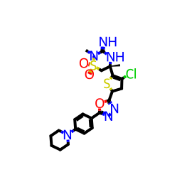 CN1C(=N)N[C@](C)(C2=C(Cl)CC(c3nnc(-c4ccc(N5CCCCC5)cc4)o3)S2)CS1(=O)=O